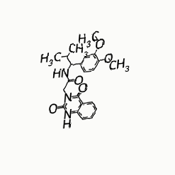 COc1ccc(C(NC(=O)Cn2c(=O)[nH]c3ccccc3c2=O)C(C)C)cc1OC